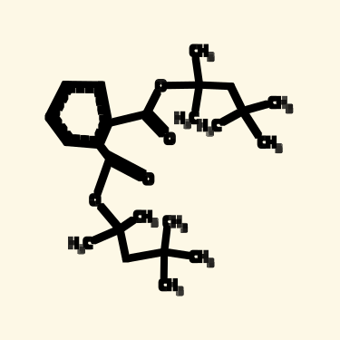 CC(C)(C)CC(C)(C)OC(=O)c1ccccc1C(=O)OC(C)(C)CC(C)(C)C